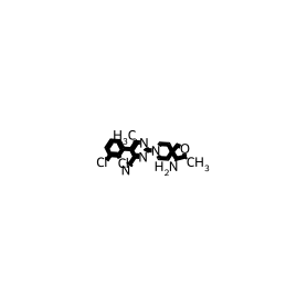 Cc1nc(N2CCC3(CC2)CO[C@@H](C)[C@H]3N)nc(C#N)c1-c1cccc(Cl)c1Cl